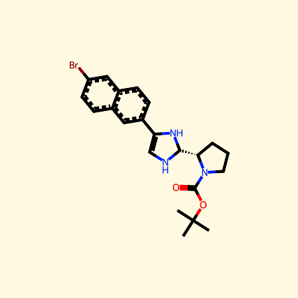 CC(C)(C)OC(=O)N1CCC[C@H]1C1NC=C(c2ccc3cc(Br)ccc3c2)N1